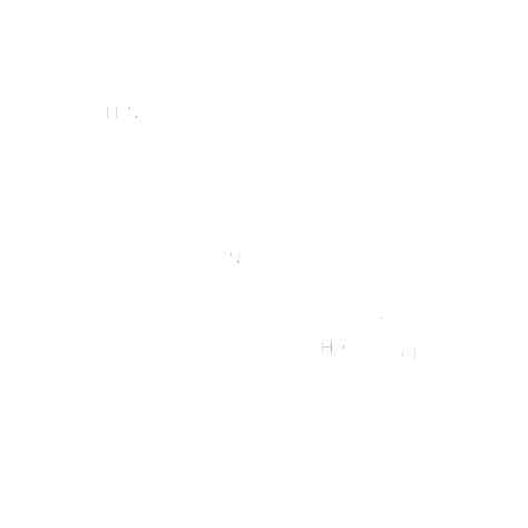 CC1(C)c2ccccc2-c2ccc(N(c3ccc(N)cc3)c3ccc4oc5ccccc5c4c3)cc21